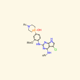 CCCNc1nc(Nc2ccc([PH]3(O)CCN(C(C)=O)CC3)cc2OC)nc2[nH]cc(Cl)c12